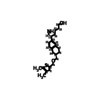 Cc1cc(COC[C@@H]2CCc3cc([C@H](CN)CCCCO)ccc3C2)sc1C